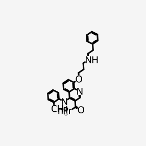 CCCC(=O)c1cnc2c(OCCCNCCc3ccccc3)cccc2c1Nc1ccccc1C